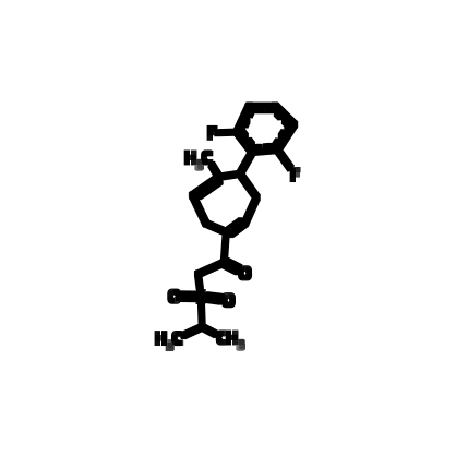 CC1=CCC(C(=O)CS(=O)(=O)C(C)C)=CCC1c1c(F)cccc1F